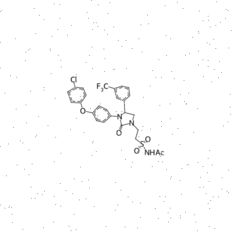 CC(=O)NS(=O)(=O)CCN1CC(c2cccc(C(F)(F)F)c2)N(c2ccc(Oc3ccc(Cl)cc3)cc2)C1=O